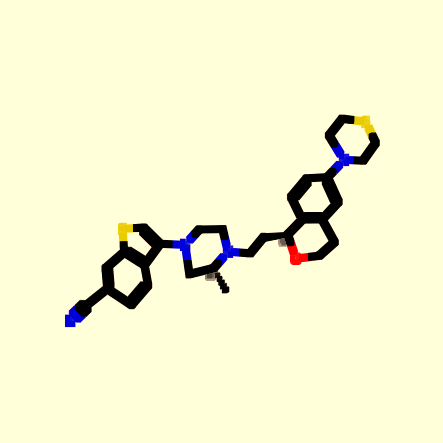 C[C@@H]1CN(c2csc3cc(C#N)ccc23)CCN1CC[C@@H]1OCCc2cc(N3CCSCC3)ccc21